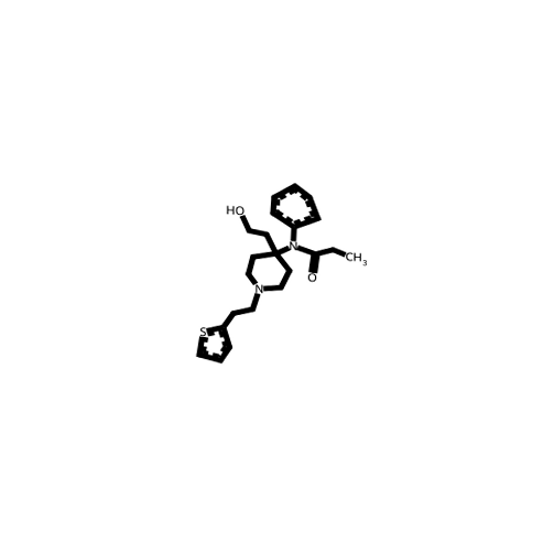 CCC(=O)N(c1ccccc1)C1(CCO)CCN(CCc2cccs2)CC1